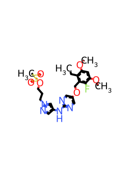 CCc1c(OC)cc(OC)c(F)c1COc1cnc(Nc2cnn(CCCOS(C)(=O)=O)c2)nc1